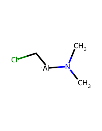 C[N](C)[Al][CH2]Cl